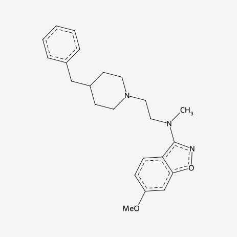 COc1ccc2c(N(C)CCN3CCC(Cc4ccccc4)CC3)noc2c1